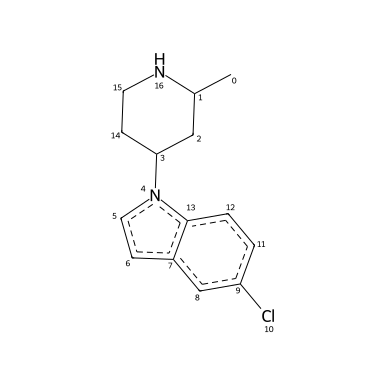 CC1CC(n2ccc3cc(Cl)ccc32)CCN1